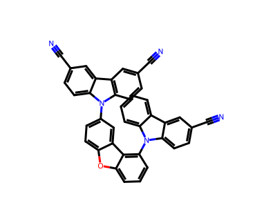 N#Cc1ccc2c(c1)c1cc(C#N)ccc1n2-c1ccc2oc3cccc(-n4c5ccccc5c5cc(C#N)ccc54)c3c2c1